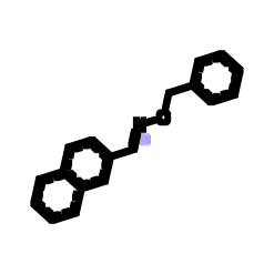 C(=N\OCc1ccccc1)/c1ccc2ccccc2c1